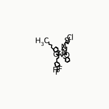 CCCCCc1ccc(CN(C(=O)/C=C/c2ccc(C(F)(F)F)cc2)[C@@H](Cc2ccccc2)C(=O)N2CCN(Cc3ccc(Cl)s3)CC2)cc1